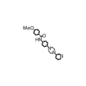 COc1ccc(C(=O)Nc2ccc(N3CCN(c4cccnc4)CC3)cc2)cc1